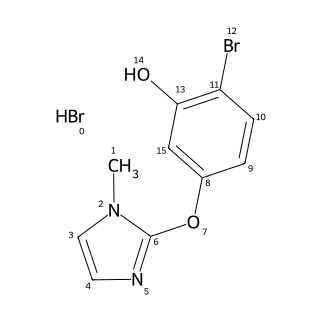 Br.Cn1ccnc1Oc1ccc(Br)c(O)c1